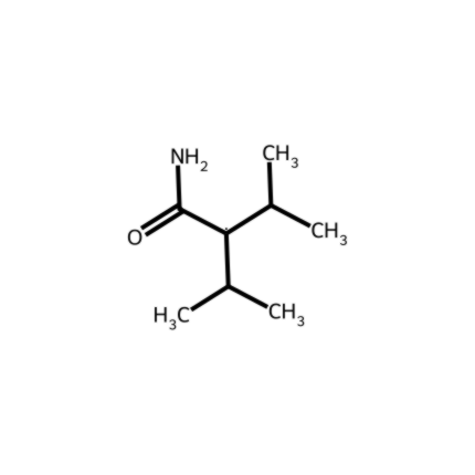 CC(C)[C](C(N)=O)C(C)C